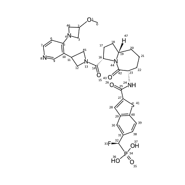 COC1CN(c2ccncc2C2CN(C(=O)[C@@H]3CC[C@@H]4CCC[C@H](NC(=O)c5cc6cc([C@H](F)P(=O)(O)O)ccc6s5)C(=O)N43)C2)C1